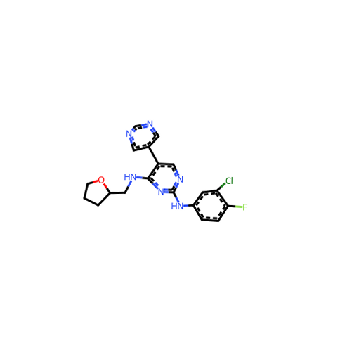 Fc1ccc(Nc2ncc(-c3cncnc3)c(NCC3CCCO3)n2)cc1Cl